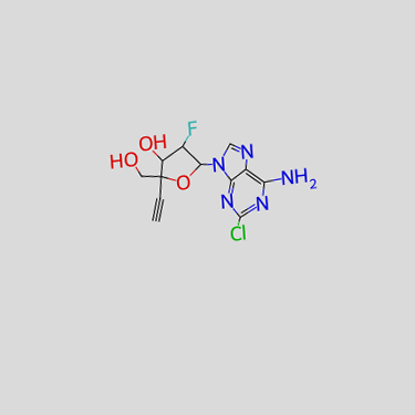 C#CC1(CO)OC(n2cnc3c(N)nc(Cl)nc32)C(F)C1O